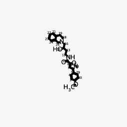 COc1ccc(-c2cc(C(=O)NCCC(O)CN3CCc4ccccc4C3)on2)cc1